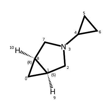 [CH]1[C@@H]2CN(C3CC3)C[C@H]12